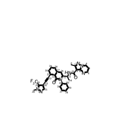 Cc1nn2cccnc2c1C(=O)NC(C)c1cc2cccc(C#Cc3cnn(C)c3C(F)(F)F)c2c(=O)n1-c1ccccc1